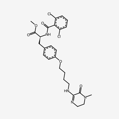 COC(=O)[C@H](Cc1ccc(OCCCCNC2=NCCN(C)C2=O)cc1)NC(=O)c1c(Cl)cccc1Cl